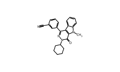 Cn1c2ccccc2c2c(-c3cccc(C#N)c3)nn(C3CCCCC3)c(=O)c21